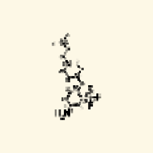 CN(C)CCN1CCN(Cc2ccc(N)cc2C(F)(F)F)CC1